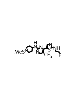 CSN1CCC(Nc2ncc(C(F)(F)F)c(-c3cnc(NCCF)s3)n2)CC1